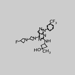 CC1(O)CC(Nc2nc(N3CC(N4CC(F)C4)C3)c3cnn(-c4cccc(C(F)(F)F)c4)c3n2)C1